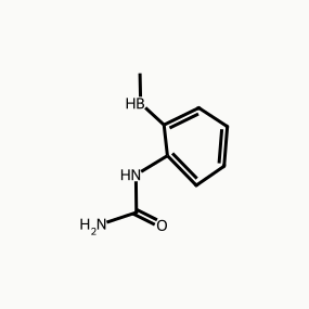 CBc1ccccc1NC(N)=O